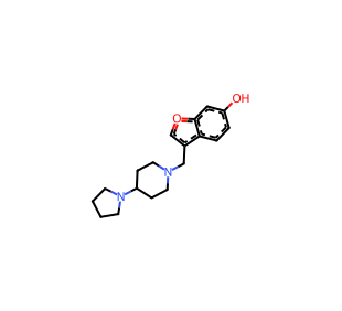 Oc1ccc2c(CN3CCC(N4CCCC4)CC3)coc2c1